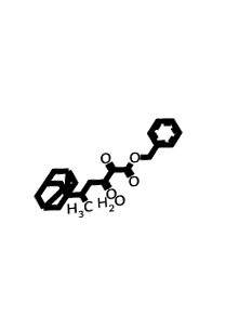 CC(CC(=O)C(=O)C(=O)OCc1ccccc1)C12CC3CC(CC(C3)C1)C2.O